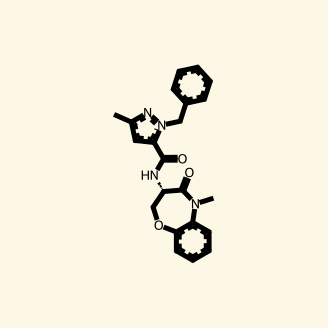 Cc1cc(C(=O)N[C@H]2COc3ccccc3N(C)C2=O)n(Cc2ccccc2)n1